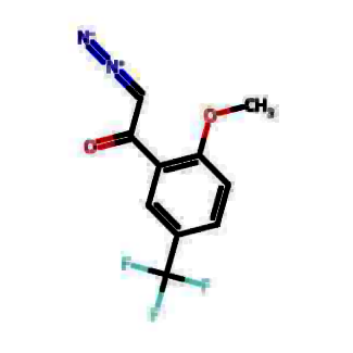 COc1ccc(C(F)(F)F)cc1C(=O)C=[N+]=[N-]